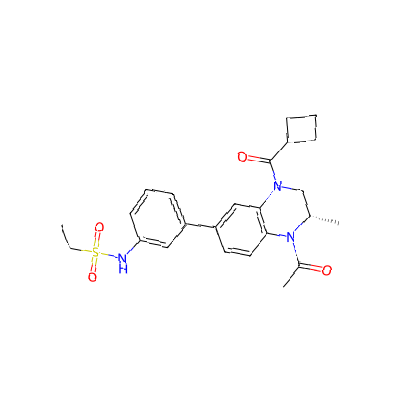 CCS(=O)(=O)Nc1cccc(-c2ccc3c(c2)N(C(=O)C2CCC2)C[C@H](C)N3C(C)=O)c1